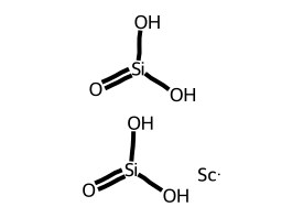 O=[Si](O)O.O=[Si](O)O.[Sc]